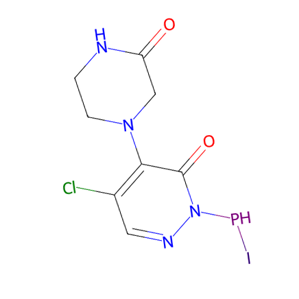 O=C1CN(c2c(Cl)cnn(PI)c2=O)CCN1